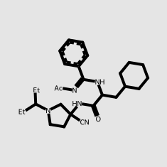 CCC(CC)N1CCC(C#N)(NC(=O)C(CC2CCCCC2)N/C(=N/C(C)=O)c2ccccc2)C1